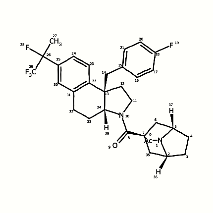 CC(=O)N1[C@@H]2CC[C@H]1C[C@H](C(=O)N1CC[C@@]3(Cc4ccc(F)cc4)c4ccc(C(C)(F)C(F)(F)F)cc4CC[C@@H]13)C2